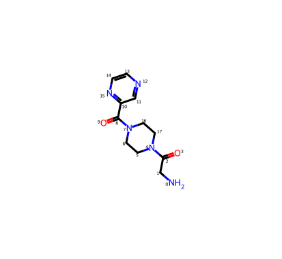 NCC(=O)N1CCN(C(=O)c2cnccn2)CC1